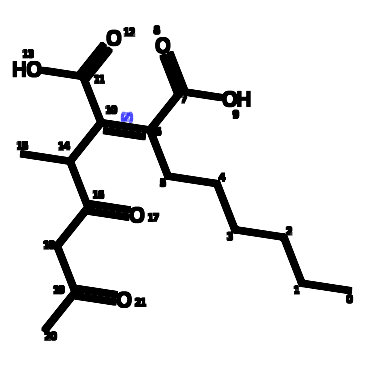 CCCCCC/C(C(=O)O)=C(/C(=O)O)C(C)C(=O)CC(C)=O